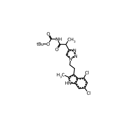 Cc1[nH]c2cc(Cl)cc(Cl)c2c1CCn1cc(C(C)C(=O)NC(=O)OC(C)(C)C)nn1